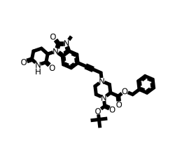 Cn1c(=O)n(C2CCC(=O)NC2=O)c2ccc(C#CCN3CCN(C(=O)OC(C)(C)C)C(C(=O)OCc4ccccc4)C3)cc21